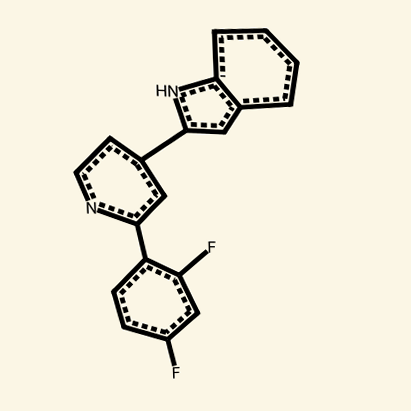 Fc1ccc(-c2cc(-c3cc4ccccc4[nH]3)ccn2)c(F)c1